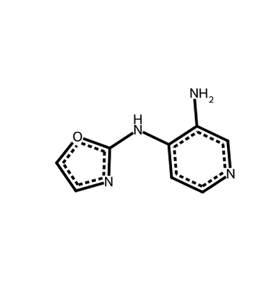 Nc1cnccc1Nc1ncco1